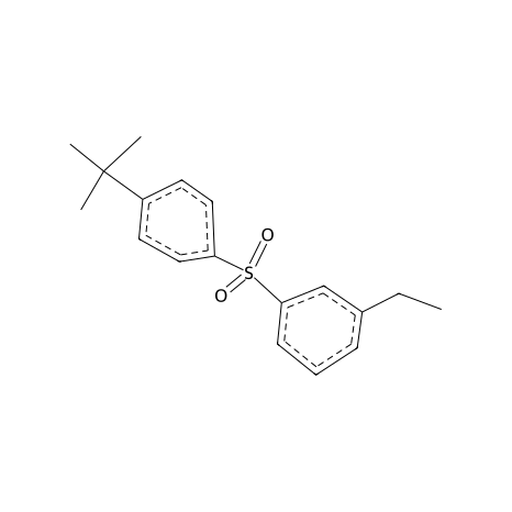 CCc1cccc(S(=O)(=O)c2ccc(C(C)(C)C)cc2)c1